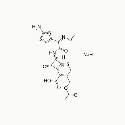 CO/N=C(\C(=O)N[C@@H]1C(=O)N2C(C(=O)O)=C(COC(C)=O)CS[C@H]12)c1csc(N)n1.[NaH]